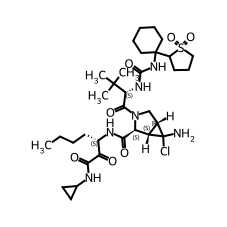 CCCC[C@H](NC(=O)[C@@H]1[C@@H]2[C@H](CN1C(=O)[C@@H](NC(=O)NC1(C3CCCS3(=O)=O)CCCCC1)C(C)(C)C)C2(N)Cl)C(=O)C(=O)NC1CC1